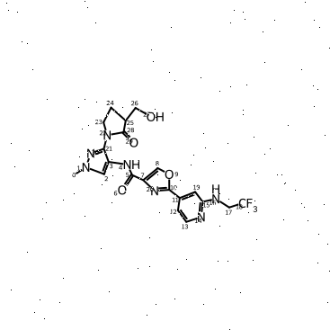 Cn1cc(NC(=O)c2coc(-c3ccnc(NCC(F)(F)F)c3)n2)c(N2CCC(CO)C2=O)n1